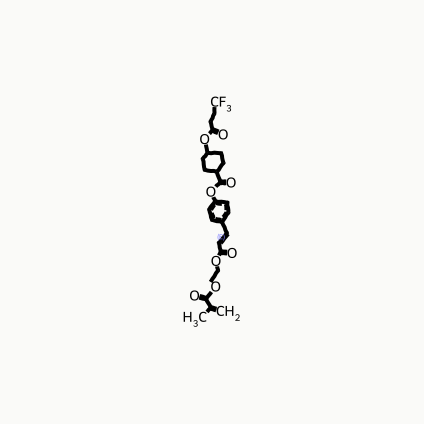 C=C(C)C(=O)OCCOC(=O)/C=C/c1ccc(OC(=O)C2CCC(OC(=O)CCC(F)(F)F)CC2)cc1